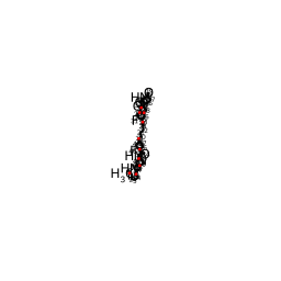 CN1CCC[C@@H]1c1cc2cnc(NC(=O)c3ccc(CCCCC#Cc4cc5c(cc4F)C(=O)N(C4CCC(=O)NC4=O)C5)cc3F)cc2[nH]1